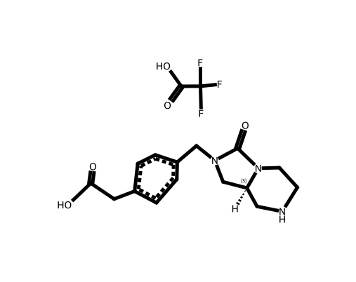 O=C(O)C(F)(F)F.O=C(O)Cc1ccc(CN2C[C@@H]3CNCCN3C2=O)cc1